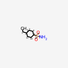 CCC1CCC(S(N)(=O)=O)CC1